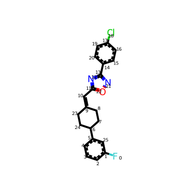 Fc1cc[c]c(C2CCC(=Cc3nc(-c4ccc(Cl)cc4)no3)CC2)c1